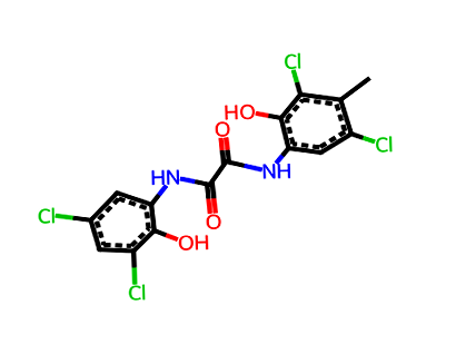 Cc1c(Cl)cc(NC(=O)C(=O)Nc2cc(Cl)cc(Cl)c2O)c(O)c1Cl